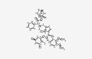 CCN(Cc1ccc(C(=O)O[C@@H](Cc2c(Cl)c[n+]([O-])cc2Cl)c2ccc(OC)c(OC)c2)s1)C(C(=O)O[C@H]1CN2CCC1CC2)c1ccccc1